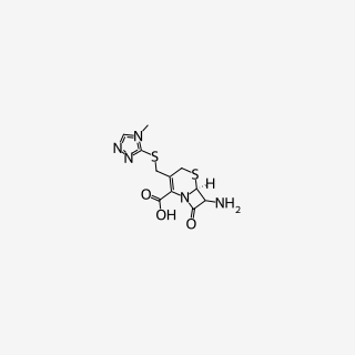 Cn1cnnc1SCC1=C(C(=O)O)N2C(=O)C(N)[C@@H]2SC1